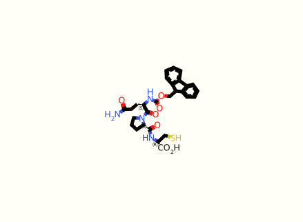 NC(=O)CC[C@H](NC(=O)OCC1c2ccccc2-c2ccccc21)C(=O)N1CCC[C@H]1C(=O)N[C@@H](CS)C(=O)O